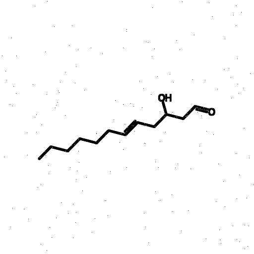 CCCCCCC=CCC(O)CC=O